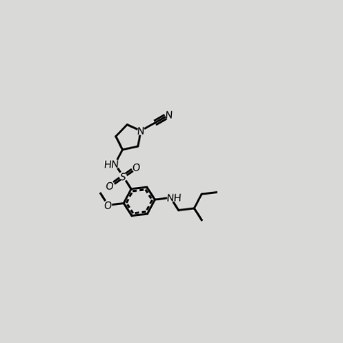 CCC(C)CNc1ccc(OC)c(S(=O)(=O)NC2CCN(C#N)C2)c1